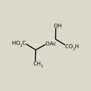 CC(=O)OC(C)C(=O)O.O=C(O)CO